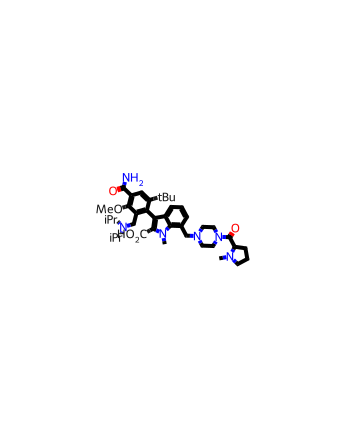 COc1c(C(N)=O)cc(C(C)(C)C)c(-c2c(C(=O)O)n(C)c3c(CN4CCN(C(=O)C5CCCN5C)CC4)cccc23)c1CN(C(C)C)C(C)C